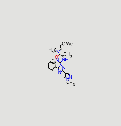 COCCN(C)C(=O)[C@@H](C)Nc1nc2c(C(F)(F)F)cccc2c2nc(-c3cnn(C)c3)nn12